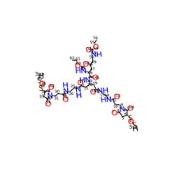 [3H]SOSC1CC(=O)N(CCC(=O)NCCNC(=O)CC(CC(=O)NCCNC(=O)CCN2C(=O)CC(SOS[3H])C2=O)NC(=O)C(CCCCNC(=O)OCC)NC(=O)OCC)C1=O